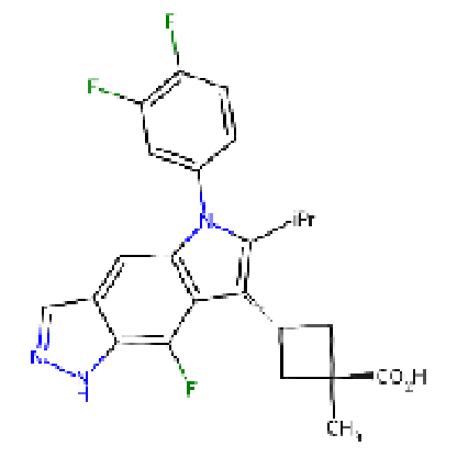 CC(C)c1c([C@H]2C[C@](C)(C(=O)O)C2)c2c(F)c3[nH]ncc3cc2n1-c1ccc(F)c(F)c1